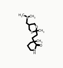 CN(C)CC1COC(C)(CCC2(C)CCCNC2=O)SC1